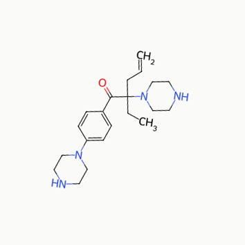 C=CCC(CC)(C(=O)c1ccc(N2CCNCC2)cc1)N1CCNCC1